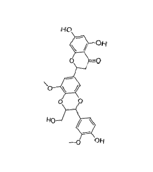 COc1cc(C2Oc3cc(C4CC(=O)c5c(O)cc(O)cc5O4)cc(OC)c3OC2CO)ccc1O